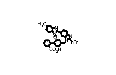 CCCc1nc2ccc(-c3nc4cc(C)ccc4n3C)cc2n1Cc1ccc(-c2ccccc2C(=O)O)cc1